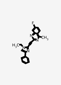 CCn1cc(-c2ccccc2)nc1C#Cc1nc(C)c2ccc(F)cc2n1